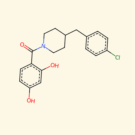 O=C(c1ccc(O)cc1O)N1CCC(Cc2ccc(Cl)cc2)CC1